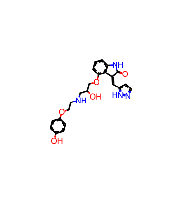 O=C1Nc2cccc(OCC(O)CNCCOc3ccc(O)cc3)c2C1=Cc1ccn[nH]1